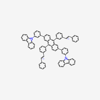 C(=C\c1cccc(-c2c3ccc(-c4cccc(-n5c6ccccc6c6ccccc65)c4)cc3c(-c3cccc(/C=C/c4ccccc4)c3)c3ccc(-c4cccc(-n5c6ccccc6c6ccccc65)c4)cc23)c1)/c1ccccc1